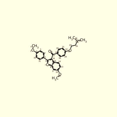 COc1ccc(-c2oc3cc(OC)ccc3c2C(=O)c2ccc(OCCN(C)C)cc2)cc1